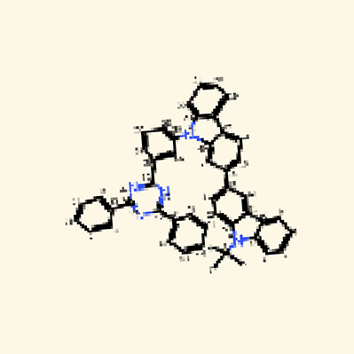 CC(C)(C)n1c2ccccc2c2cc(-c3ccc4c5ccccc5n(-c5cccc(-c6nc(-c7ccccc7)nc(-c7ccccc7)n6)c5)c4c3)ccc21